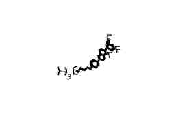 CCCCCCc1ccc(-c2ccc3c(F)c(-c4cc(F)cc(F)c4)ccc3c2)cc1